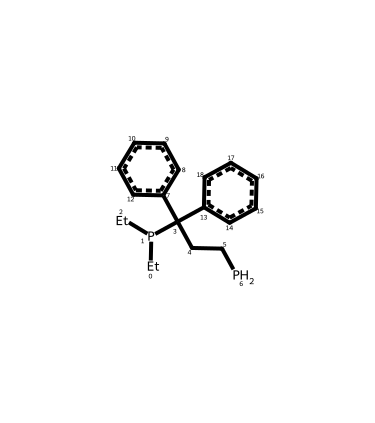 CCP(CC)C(CCP)(c1ccccc1)c1ccccc1